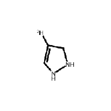 [2H]C1=CNNC1